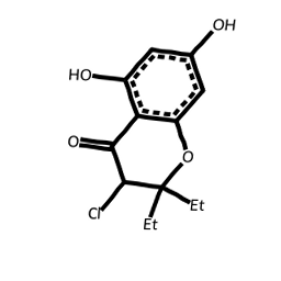 CCC1(CC)Oc2cc(O)cc(O)c2C(=O)C1Cl